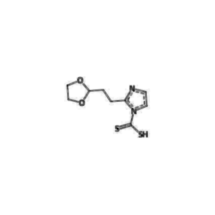 S=C(S)n1ccnc1CCC1OCCO1